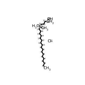 CCCCCCCCCCCCCCCCCC[N+](C)(C)CCC[SiH2]O.[Cl-]